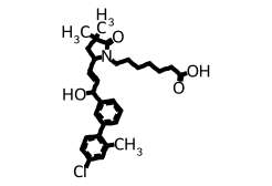 Cc1cc(Cl)ccc1-c1cccc(C(O)C=CC2CC(C)(C)C(=O)N2CCCCCCC(=O)O)c1